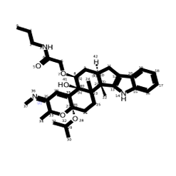 CCCNC(=O)CO[C@H]1C[C@H]2Cc3c([nH]c4ccccc34)[C@]2(C)C2(C)CC[C@@]3(OC(C)C)OC(C)/C(=N\C)C=C3[C@]12O